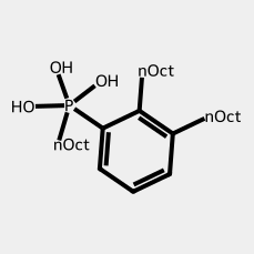 CCCCCCCCc1cccc(P(O)(O)(O)CCCCCCCC)c1CCCCCCCC